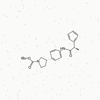 C[C@@H](C(=O)Nc1ccc([C@@H]2CCN(C(=O)OC(C)(C)C)C2)cc1)c1ccccc1